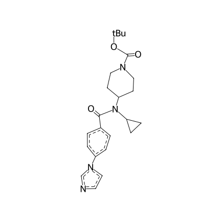 CC(C)(C)OC(=O)N1CCC(N(C(=O)c2ccc(-n3ccnc3)cc2)C2CC2)CC1